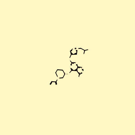 C=CC(=O)N1CCC[C@@H](Nc2nc(Nc3cnn(CC(F)F)c3)nc3[nH]nc(Cl)c23)C1